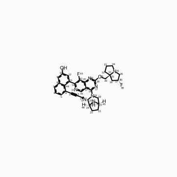 N#CC#Cc1cccc2cc(O)cc(-c3ncc4c(N5C[C@H]6CC[C@@H](C5)N6)nc(OC[C@@]56CCCN5C[C@H](F)C6)nc4c3F)c12